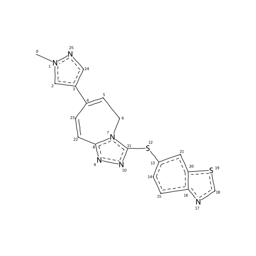 Cn1cc(C2=CCn3c(nnc3Sc3ccc4ncsc4c3)C=C2)cn1